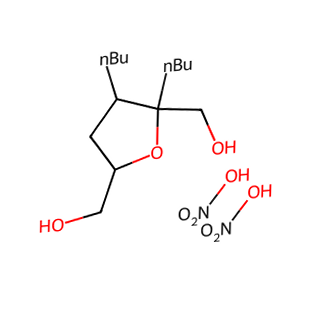 CCCCC1CC(CO)OC1(CO)CCCC.O=[N+]([O-])O.O=[N+]([O-])O